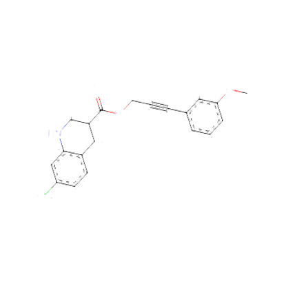 COc1cccc(C#CCOC(=O)C2CNc3cc(Cl)ccc3C2)c1